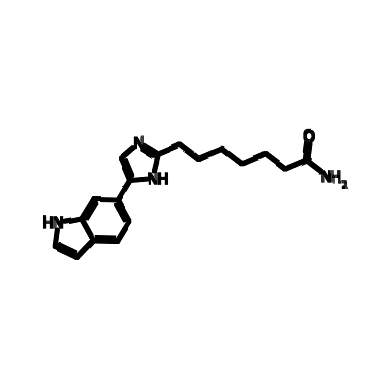 NC(=O)CCCCCCc1ncc(-c2ccc3cc[nH]c3c2)[nH]1